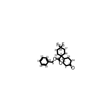 O=C1CCC(C2(C(=O)OCc3ccccc3)CCC(F)(F)CC2)CC1